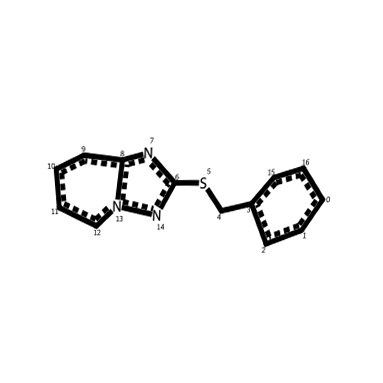 c1ccc(CSc2nc3ccccn3n2)cc1